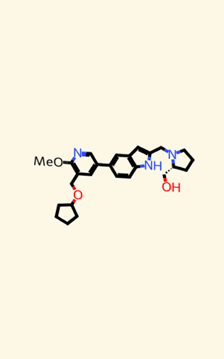 COc1ncc(-c2ccc3[nH]c(CN4CCC[C@@H]4CO)cc3c2)cc1COC1CCCC1